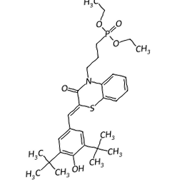 CCOP(=O)(CCCN1C(=O)C(=Cc2cc(C(C)(C)C)c(O)c(C(C)(C)C)c2)Sc2ccccc21)OCC